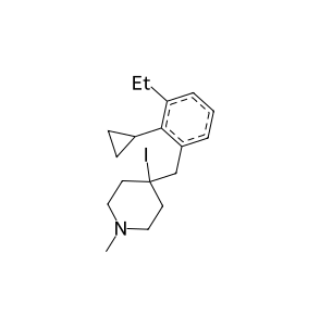 CCc1cccc(CC2(I)CCN(C)CC2)c1C1CC1